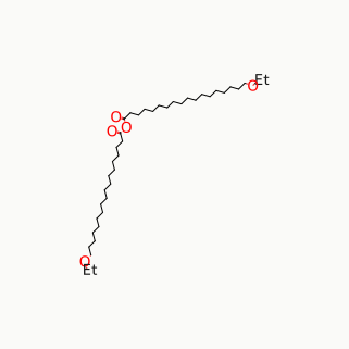 CCOCCCCCCCCCCCCCCCCCC(=O)OC(=O)CCCCCCCCCCCCCCCCCOCC